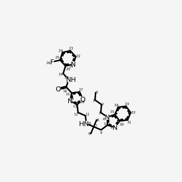 CCCCn1c(CC(C)(C)NCCc2nc(C(=O)NCc3ncccc3F)co2)nc2ccccc21